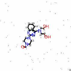 O=CN1CCN(c2nc3c(c(N(CCO)CCO)n2)CCCC3)CC1